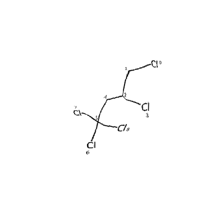 ClCC(Cl)CC(Cl)(Cl)Cl